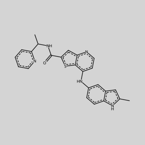 Cc1cc2cc(Nc3ccnc4cc(C(=O)NC(C)c5ccccn5)sc34)ccc2[nH]1